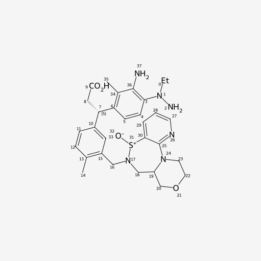 CCN(N)c1ccc([C@@H](CC(=O)O)c2ccc(C)c(CN3CC4COCCN4c4ncccc4[S+]3[O-])c2)c(C)c1N